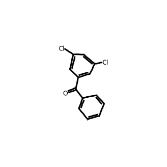 O=C(c1c[c]ccc1)c1cc(Cl)cc(Cl)c1